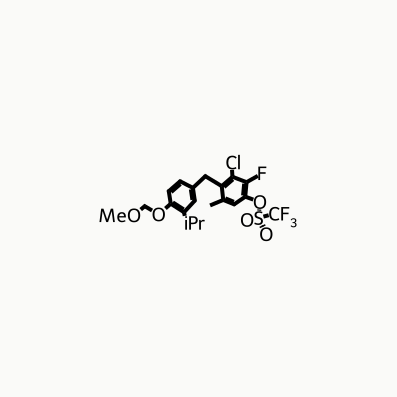 COCOc1ccc(Cc2c(C)cc(OS(=O)(=O)C(F)(F)F)c(F)c2Cl)cc1C(C)C